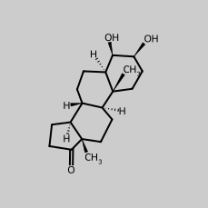 C[C@]12CC[C@H](O)[C@H](O)[C@@H]1CC[C@@H]1[C@@H]2CC[C@]2(C)C(=O)CC[C@@H]12